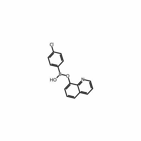 OB(Oc1cccc2cccnc12)c1ccc(Cl)cc1